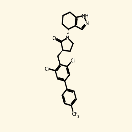 O=C1[C@H](Cc2c(Cl)cc(-c3ccc(C(F)(F)F)cc3)cc2Cl)CCN1[C@@H]1CCCc2[nH]ncc21